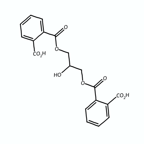 O=C(O)c1ccccc1C(=O)OCC(O)COC(=O)c1ccccc1C(=O)O